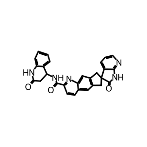 O=C1CC(NC(=O)c2ccc3cc4c(cc3n2)CC2(C4)C(=O)Nc3ncccc32)c2ccccc2N1